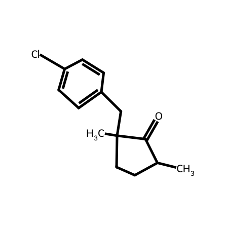 CC1CCC(C)(Cc2ccc(Cl)cc2)C1=O